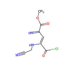 COC(=O)C(=N)/C=C(\NCC#N)C(=O)Cl